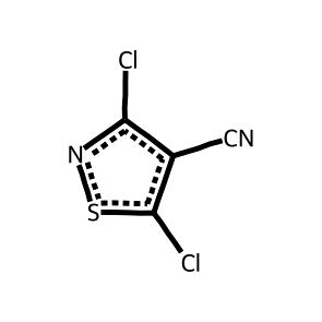 N#Cc1c(Cl)nsc1Cl